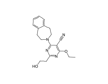 CCOc1nc(CCO)nc(N2CCc3ccccc3CC2)c1C#N